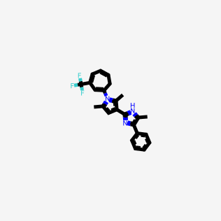 Cc1[nH]c(-c2cc(C)n(C3=CC(C(F)(F)F)=CC=CC3)c2C)nc1-c1ccccc1